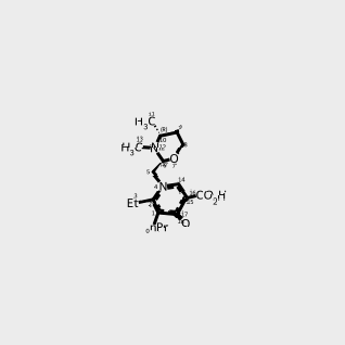 CCCc1c(CC)n(C[C@@H]2OCC[C@@H](C)N2C)cc(C(=O)O)c1=O